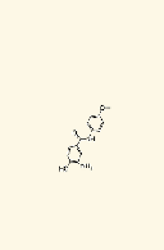 COc1ccc(NC(=O)c2ccc(O)c(N)c2)cc1